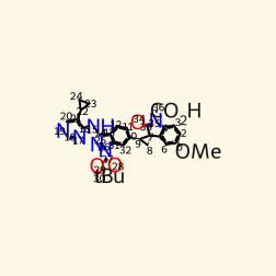 COc1ccc2c(c1)[C@]1(C[C@H]1c1ccc3c(Nc4ncncc4C4CC4)nn(C(=O)OC(C)(C)C)c3c1)C(=O)N2C(=O)O